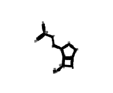 CC(C)[C@@H]1CC2=C1C(CC[SH](=O)=S)CC2